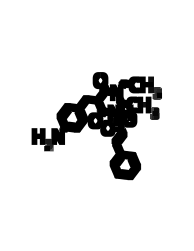 CCN(CC)C(=O)C(Cc1ccc(N)cc1)C(=O)NS(=O)(=O)C=Cc1ccccc1